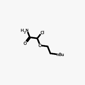 CCCCCCOC(Cl)C(N)=O